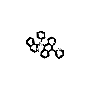 c1ccc(N(c2nccc3ccccc23)c2c3ccccc3c(-c3ccccn3)c3ccccc23)cc1